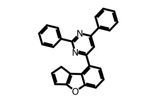 C1=Cc2oc3cccc(-c4cc(-c5ccccc5)nc(-c5ccccc5)n4)c3c2C1